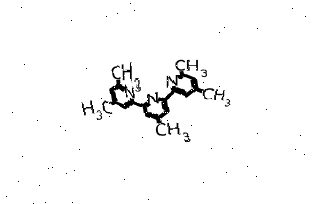 Cc1cc(C)nc(-c2cc(C)cc(-c3cc(C)cc(C)n3)n2)c1